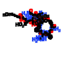 CCCCCCCCCCCCCCCC(=O)CS(=O)(=O)CCCC(=O)N[C@@H](CCC(=O)O)C(=O)N[C@@H](CCC(=O)O)C(=O)N[C@@H](CCC(N)=O)C(=O)N[C@@H](Cc1c[nH]cn1)C(=O)N[C@@H](CO)C(=O)N[C@@H](CCCC)C(=O)N[C@H]1CCC(=O)CCCCC[C@@H](C(N)=O)NC(=O)[C@H](Cc2c[nH]c3ccccc23)NC(=O)[C@H](CCCNC(=N)N)NC(=O)[C@@H](Cc2ccccc2)NC(=O)[C@@H]2C[C@@H](O)CN2C1=O